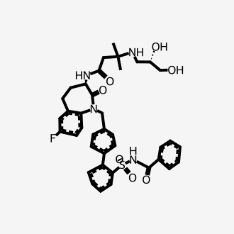 CC(C)(CC(=O)N[C@@H]1CCc2cc(F)ccc2N(Cc2ccc(-c3ccccc3S(=O)(=O)NC(=O)c3ccccc3)cc2)C1=O)NC[C@H](O)CO